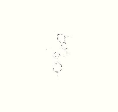 Cc1nc([C@H](C)Nc2nc3cc(Cl)cc(C(F)(F)F)c3o2)n(-c2ccc(C(F)(F)F)cn2)n1